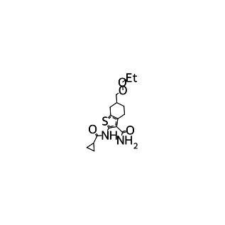 CCOOCC1CCc2c(sc(NC(=O)C3CC3)c2C(N)=O)C1